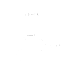 CC(=O)O.CCCCCC=CCC(=O)OC(c1ccccc1)c1ccccc1